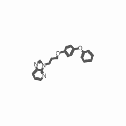 c1ccc(Oc2ccc(OCCCn3cnc4cccnc43)cc2)cc1